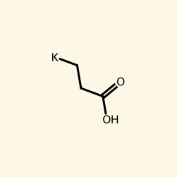 O=C(O)C[CH2][K]